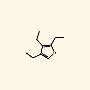 CCc1coc(CC)c1CC